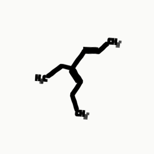 [CH2]C=CC(=CC[CH2])CC